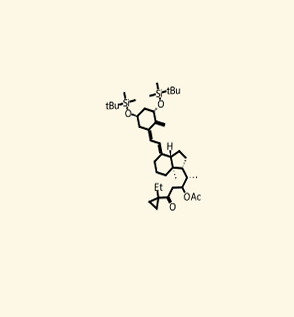 C=C1/C(=C\C=C2/CCC[C@]3(C)[C@@H]([C@H](C)C(CC(=O)C4(CC)CC4)OC(C)=O)CC[C@@H]23)C[C@@H](O[Si](C)(C)C(C)(C)C)C[C@@H]1O[Si](C)(C)C(C)(C)C